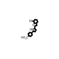 CCc1cccc2cc(-c3ccc(-c4ccc(C(=O)O)cc4)[nH]3)oc12